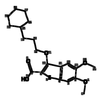 COc1cc2sc(C(=O)O)c(OCCCC3CCCCC3)c2cc1OC